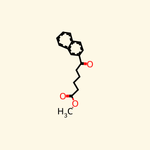 COC(=O)CCCCC(=O)c1ccc2ccccc2c1